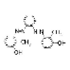 Cc1c(O)cccc1N=Nc1ccccc1N=Nc1cccc(O)c1C